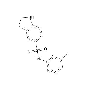 Cc1ccnc(NS(=O)(=O)c2ccc3c(c2)CCN3)n1